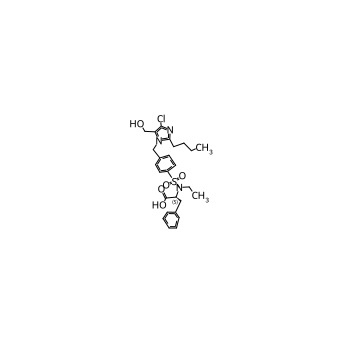 CCCCc1nc(Cl)c(CO)n1Cc1ccc(S(=O)(=O)N(CC)[C@@H](Cc2ccccc2)C(=O)O)cc1